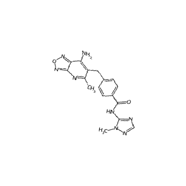 Cc1nc2nonc2c(N)c1Cc1ccc(C(=O)Nc2ncnn2C)cc1